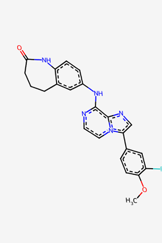 COc1ccc(-c2cnc3c(Nc4ccc5c(c4)CCCC(=O)N5)nccn23)cc1F